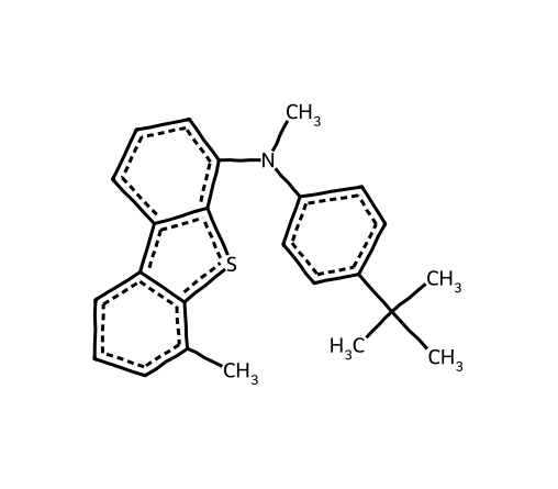 Cc1cccc2c1sc1c(N(C)c3ccc(C(C)(C)C)cc3)cccc12